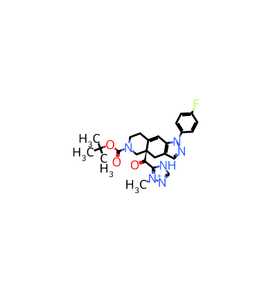 C[n+]1nc[nH]c1C(=O)[C@]12Cc3cnn(-c4ccc(F)cc4)c3C=C1CCN(C(=O)OC(C)(C)C)C2